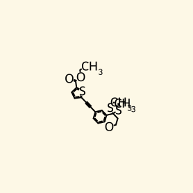 CCOC(=O)c1ccc(C#Cc2ccc3c(c2)C(SC)(SC)CCO3)s1